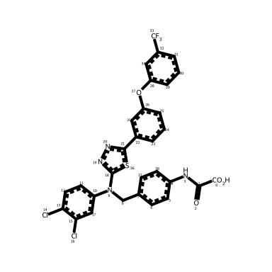 O=C(O)C(=O)Nc1ccc(CN(c2ccc(Cl)c(Cl)c2)c2nnc(-c3cccc(Oc4cccc(C(F)(F)F)c4)c3)s2)cc1